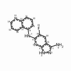 Nc1n[nH]c2nc(Nc3cccc4ncccc34)c(F)cc12